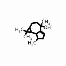 CC1CC=C2C1C1C(CCC2(C)O)C1(C)C